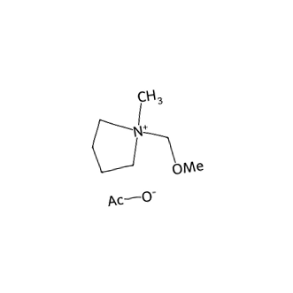 CC(=O)[O-].COC[N+]1(C)CCCC1